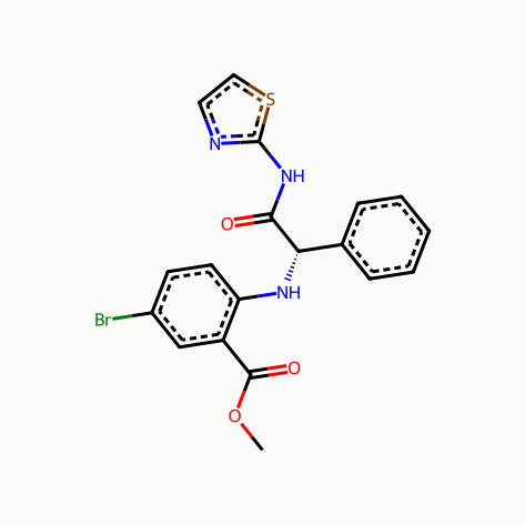 COC(=O)c1cc(Br)ccc1N[C@H](C(=O)Nc1nccs1)c1ccccc1